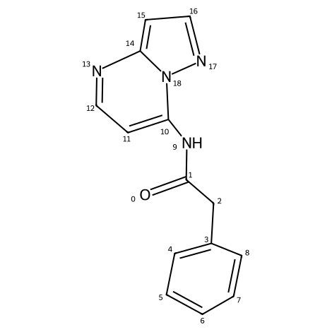 O=C(Cc1ccccc1)Nc1ccnc2ccnn12